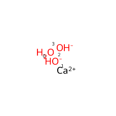 O.[Ca+2].[OH-].[OH-]